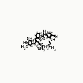 COCCNc1cc(NC(=O)N2CCCc3cc(CN4C[C@@H](C)N[C@@H](C)C4)c(C(OC)OC)nc32)ncc1C#N